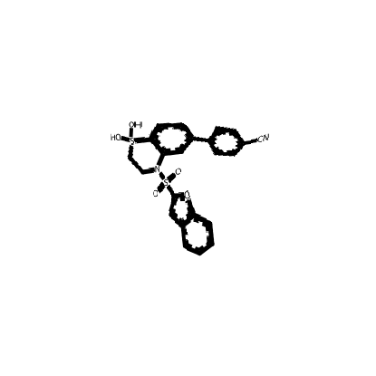 N#Cc1ccc(-c2ccc3c(c2)N(S(=O)(=O)c2cc4ccccc4o2)CCS3(O)O)cc1